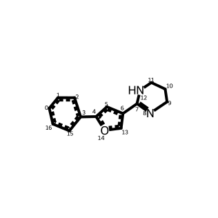 c1ccc(-c2cc(C3=NCCCN3)co2)cc1